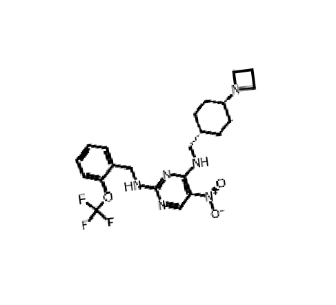 O=[N+]([O-])c1cnc(NCc2ccccc2OC(F)(F)F)nc1NC[C@H]1CC[C@H](N2CCC2)CC1